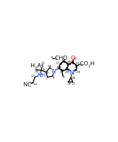 CC=O.Cc1c(N2CCC(C(C)([AsH2])NCCC#N)C2)ccc2c(=O)c(C(=O)O)cn(C3CC3)c12